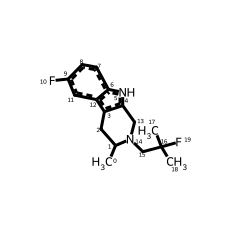 CC1Cc2c([nH]c3ccc(F)cc23)CN1CC(C)(C)F